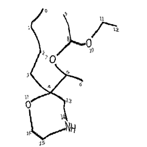 CCCCC1(C(C)OC(C)OCC)CNCCO1